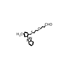 Cc1ccc(CSCCCOCCCC=O)c(-n2nc3ccccc3n2)c1